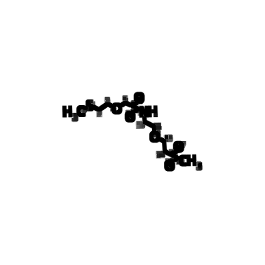 CSCCOCS(=O)(=O)NCCOCCS(C)(=O)=O